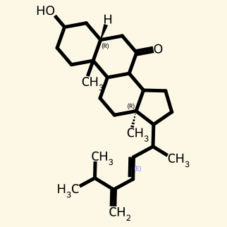 C=C(/C=C/C(C)C1CCC2C3C(=O)C[C@H]4CC(O)CCC4(C)C3CC[C@]12C)C(C)C